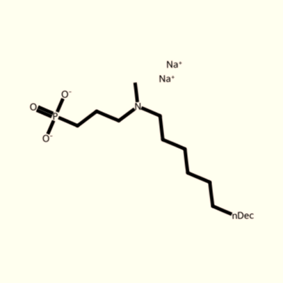 CCCCCCCCCCCCCCCCN(C)CCCP(=O)([O-])[O-].[Na+].[Na+]